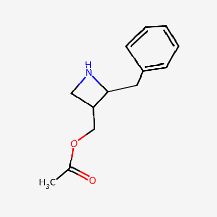 CC(=O)OCC1CNC1Cc1ccccc1